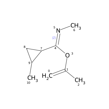 C=C(C)O/C(=N\C)C1CC1C